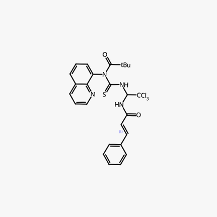 CC(C)(C)C(=O)N(C(=S)NC(NC(=O)/C=C/c1ccccc1)C(Cl)(Cl)Cl)c1cccc2cccnc12